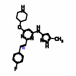 Cc1cc(Nc2cc(OC3CCNCC3)nc(/C=C/c3ccc(F)cc3)n2)n[nH]1